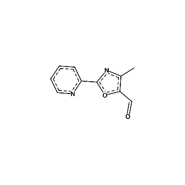 Cc1nc(-c2ccccn2)oc1C=O